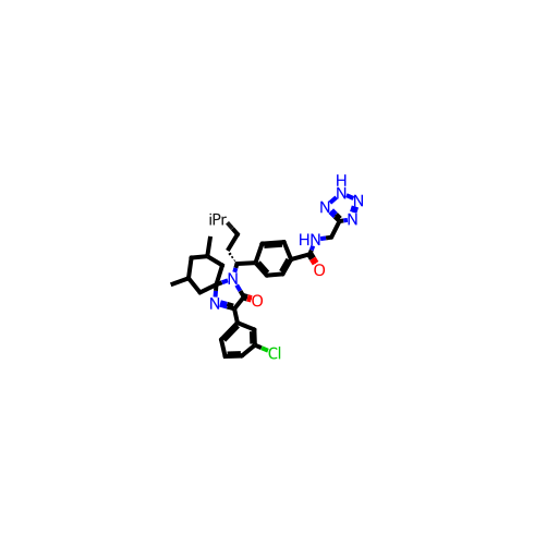 CC(C)CC[C@H](c1ccc(C(=O)NCc2nn[nH]n2)cc1)N1C(=O)C(c2cccc(Cl)c2)=NC12CC(C)CC(C)C2